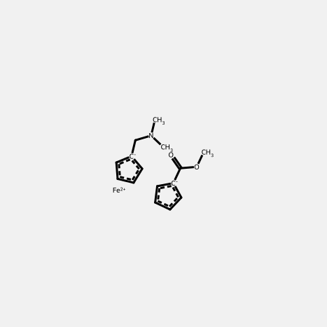 CN(C)C[c-]1cccc1.COC(=O)[c-]1cccc1.[Fe+2]